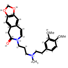 COc1ccc(CCN(C)CCCN2C=Cc3cc4c(cc3CC2=O)OCO4)cc1OC